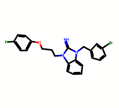 N=c1n(CCCOc2ccc(F)cc2)c2ccccc2n1Cc1cccc(Br)c1